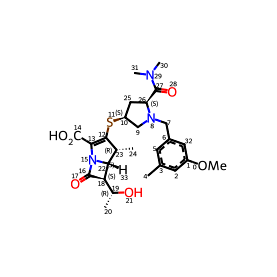 COc1cc(C)cc(CN2C[C@@H](SC3=C(C(=O)O)N4C(=O)[C@H]([C@@H](C)O)[C@H]4[C@H]3C)C[C@H]2C(=O)N(C)C)c1